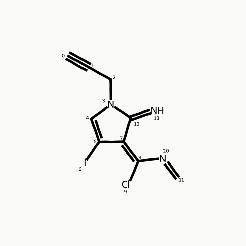 C#CCN1C=C(I)/C(=C(\Cl)N=C)C1=N